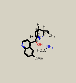 C=C[C@H]1C[N@]2CC[C@H]1C[C@@H]2[C@@H](O)c1ccnc2ccc(OC)cc12.NC(=O)O